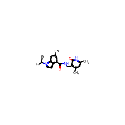 CCC(CC)n1ccc2c(C(=O)NCc3c(C)cc(C)[nH]c3=O)cc(C#N)cc21